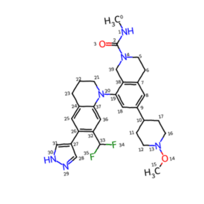 CNC(=O)N1CCc2cc(C3CCN(OC)CC3)cc(N3CCCc4cc(-c5cn[nH]c5)c(C(F)F)cc43)c2C1